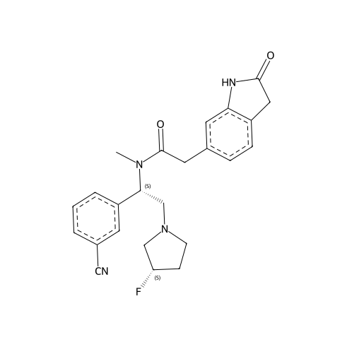 CN(C(=O)Cc1ccc2c(c1)NC(=O)C2)[C@H](CN1CC[C@H](F)C1)c1cccc(C#N)c1